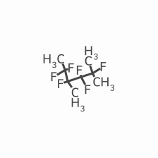 CC(C)(F)C(F)(F)C(C)(F)C(C)(F)F